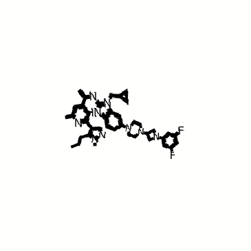 C=C(/N=c1\[nH]c2ccc(N3CCN(C4CN(c5cc(F)cc(F)c5)C4)CC3)cc2n1CC1CC1)c1cc(C)nc(-c2cnn(C)c2CCC)c1